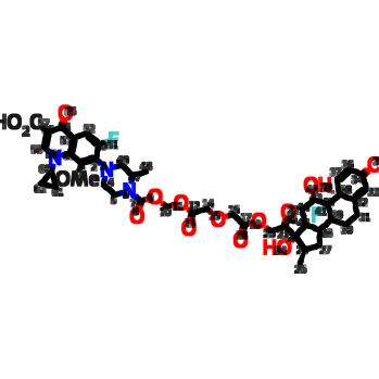 COc1c(N2CCN(C(=O)OCOC(=O)COCC(=O)OCC(=O)[C@@]3(O)[C@H](C)CC4C5CCC6=CC(=O)C=C[C@]6(C)[C@@]5(F)[C@@H](O)C[C@@]43C)C(C)C2)c(F)cc2c(=O)c(C(=O)O)cn(C3CC3)c12